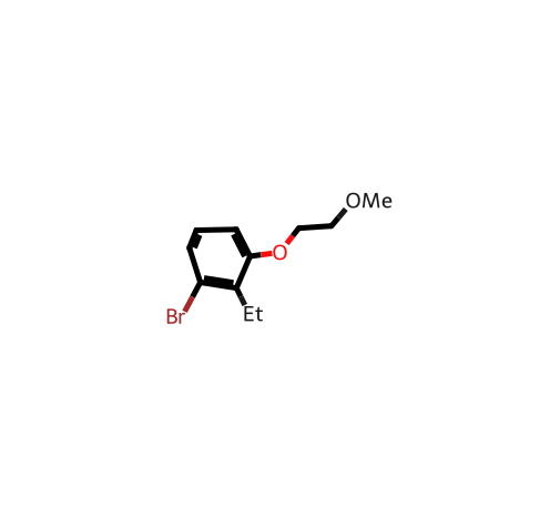 CCc1c(Br)cccc1OCCOC